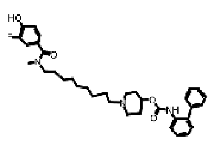 CN(CCCCCCCCCN1CCC(OC(=O)Nc2ccccc2-c2ccccc2)CC1)C(=O)c1ccc(O)c(F)c1